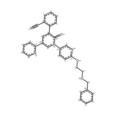 N#Cc1ccccc1-c1cc(-c2ccccn2)cn(-c2ccc(OCCOCc3ccccc3)nc2)c1=O